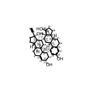 C#C[C@]1(O)CC[C@H]2[C@@H]3CCC4=C[C@@H](O)CC[C@@H]4[C@H]3CC[C@@]21C.C[C@]12CC[C@@H]3c4ccc(O)cc4CC[C@H]3[C@@H]1CC[C@@H]2O